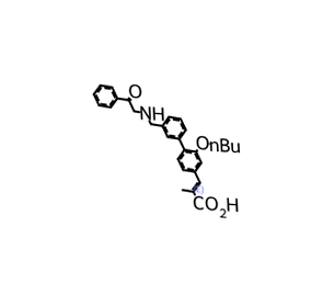 CCCCOc1cc(/C=C(\C)C(=O)O)ccc1-c1cccc(CNCC(=O)c2ccccc2)c1